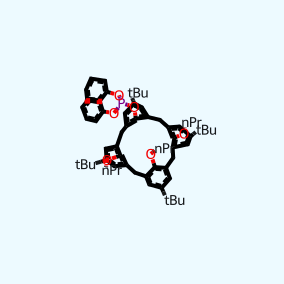 CCCOc1c2cc(C(C)(C)C)cc1Cc1cc(C(C)(C)C)cc(c1OCCC)Cc1cc(C(C)(C)C)cc(c1OP(Oc1ccccc1)Oc1ccccc1)Cc1cc(C(C)(C)C)cc(c1OCCC)C2